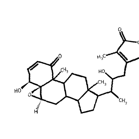 CC1=C(CC(O)C(C)C2CCC3C4C[C@H]5O[C@]56[C@@H](O)C=CC(=O)C6(C)C4CCC23C)COC1=O